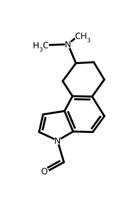 CN(C)C1CCc2ccc3c(ccn3C=O)c2C1